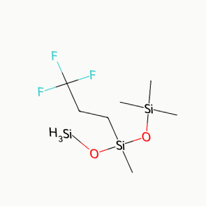 C[Si](C)(C)O[Si](C)(CCC(F)(F)F)O[SiH3]